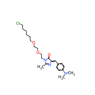 CC1=N/C(=C\c2ccc(N(C)C)cc2)C(=O)N1CCOCCOCCCCCCCl